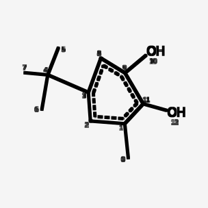 Cc1cc(C(C)(C)C)cc(O)c1O